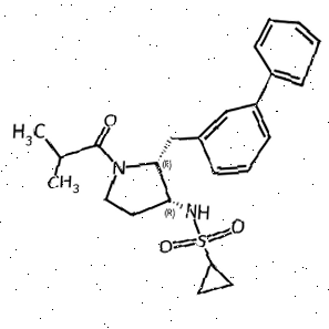 CC(C)C(=O)N1CC[C@@H](NS(=O)(=O)C2CC2)[C@H]1Cc1cccc(-c2ccccc2)c1